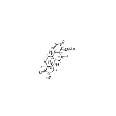 C=C1C[C@@H]2[C@H](CC[C@]3(C)C(=O)[C@@H](F)C[C@@H]23)[C@@]2(C)C=CC(=O)C(OC)=C12